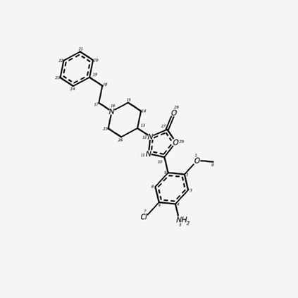 COc1cc(N)c(Cl)cc1-c1nn(C2CCN(CCc3ccccc3)CC2)c(=O)o1